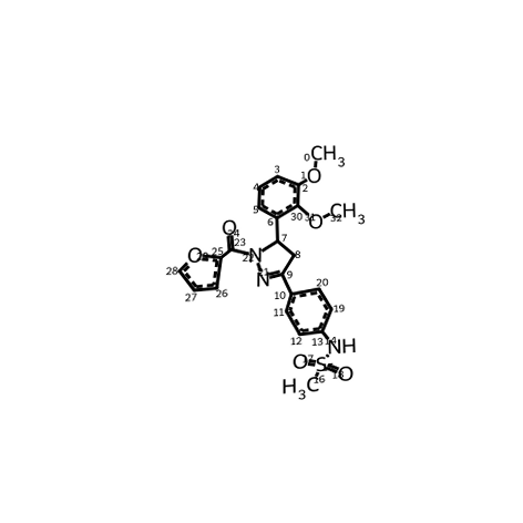 COc1cccc(C2CC(c3ccc(NS(C)(=O)=O)cc3)=NN2C(=O)c2ccco2)c1OC